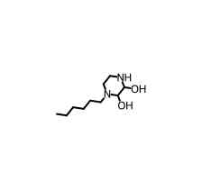 CCCCCCN1CCNC(O)C1O